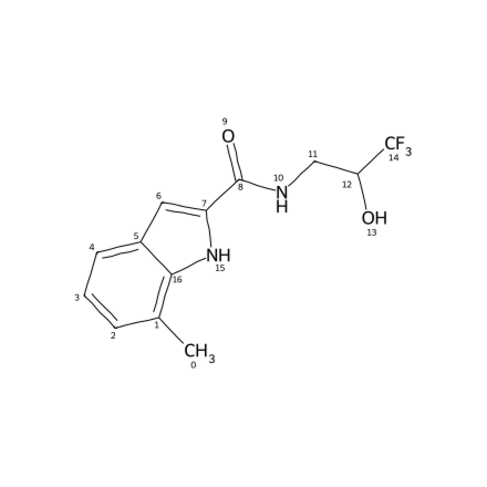 Cc1cccc2cc(C(=O)NCC(O)C(F)(F)F)[nH]c12